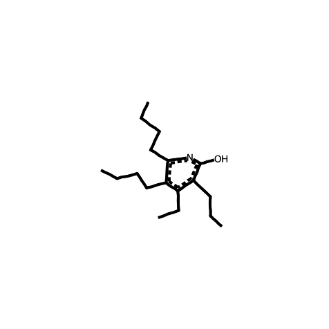 CCCCc1nc(O)c(CCC)c(CC)c1CCCC